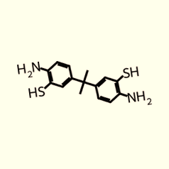 CC(C)(c1ccc(N)c(S)c1)c1ccc(N)c(S)c1